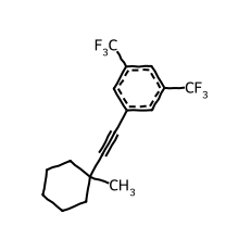 CC1(C#Cc2cc(C(F)(F)F)cc(C(F)(F)F)c2)CCCCC1